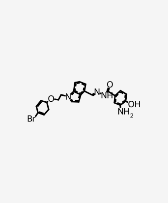 Nc1cc(C(=O)N/N=C/c2cccc3c2ccn3CCOC2C=CC(Br)=CC2)ccc1O